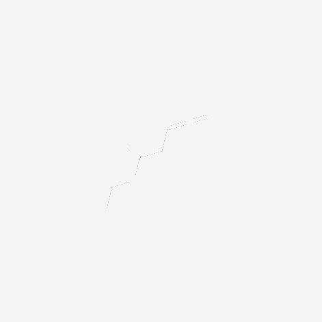 CCOC(=O)CC=C=O